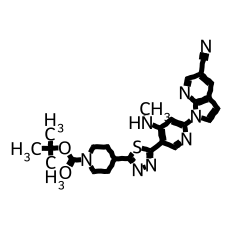 CNc1cc(-n2ccc3cc(C#N)cnc32)ncc1-c1nnc(C2CCN(C(=O)OC(C)(C)C)CC2)s1